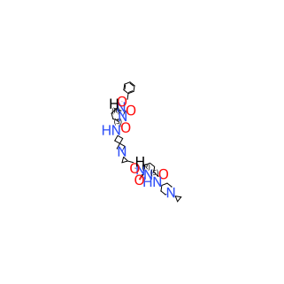 O=C(NC1CCN(C2CC2)CC1)[C@@H]1CC[C@@H]2CN1C(=O)N2OCC1CC1N1CC2(CC(NC(=O)[C@@H]3CC[C@@H]4CN3C(=O)N4OCc3ccccc3)C2)C1